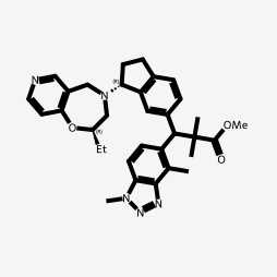 CC[C@@H]1CN([C@@H]2CCc3ccc(C(c4ccc5c(nnn5C)c4C)C(C)(C)C(=O)OC)cc32)Cc2cnccc2O1